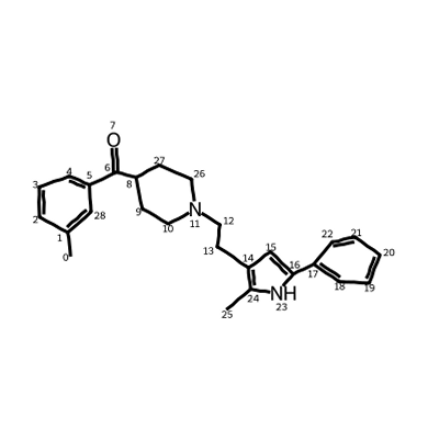 Cc1cccc(C(=O)C2CCN(CCc3cc(-c4ccccc4)[nH]c3C)CC2)c1